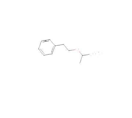 CCOC(=O)C(C)OCCc1ccccc1